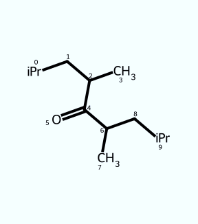 CC(C)CC(C)C(=O)C(C)CC(C)C